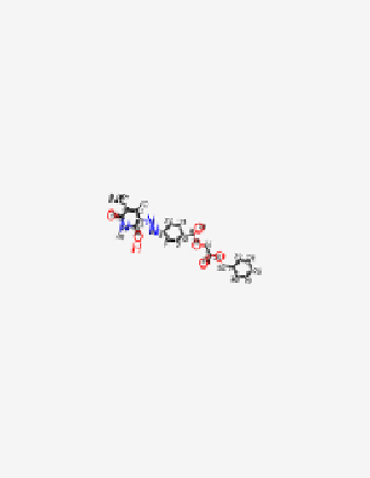 Cc1c(/N=N/c2ccc(C(=O)OCC(=O)OCc3ccccc3)cc2)c(O)n(C)c(=O)c1C#N